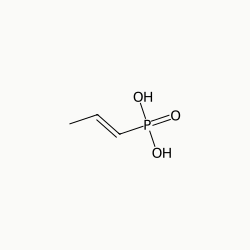 C/C=C/P(=O)(O)O